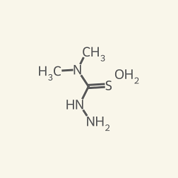 CN(C)C(=S)NN.O